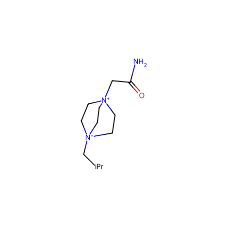 CC(C)C[N+]12CC[N+](CC(N)=O)(CC1)CC2